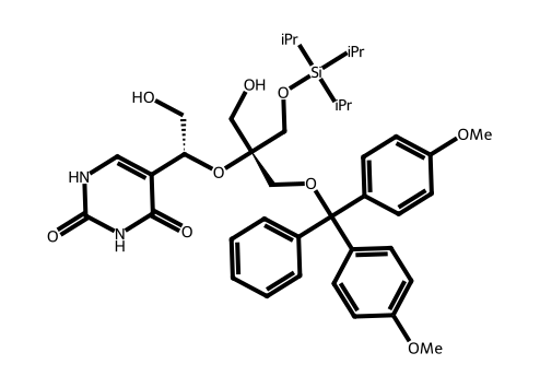 COc1ccc(C(OC[C@@](CO)(CO[Si](C(C)C)(C(C)C)C(C)C)O[C@@H](CO)c2c[nH]c(=O)[nH]c2=O)(c2ccccc2)c2ccc(OC)cc2)cc1